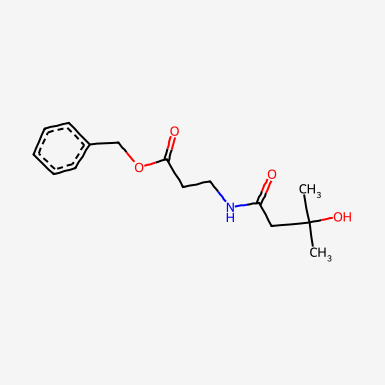 CC(C)(O)CC(=O)NCCC(=O)OCc1ccccc1